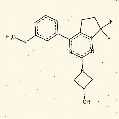 CSc1cccc(-c2nc(N3CC(O)C3)nc3c2CCC3(F)F)c1